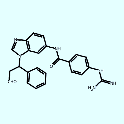 N=C(N)Nc1ccc(C(=O)Nc2ccc3ncn(C(CC=O)c4ccccc4)c3c2)cc1